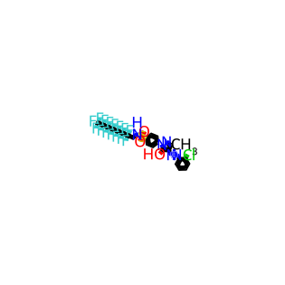 Cc1nn(-c2ccc(S(=O)(=O)NCC(F)(F)C(F)(F)C(F)(F)C(F)(F)C(F)(F)C(F)(F)C(F)(F)F)cc2)c(O)c1/N=N/c1ccccc1Cl